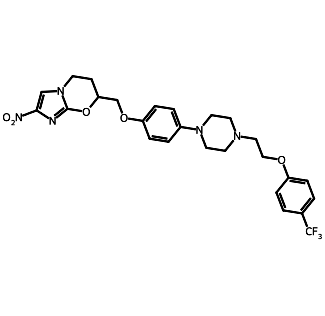 O=[N+]([O-])c1cn2c(n1)OC(COc1ccc(N3CCN(CCOc4ccc(C(F)(F)F)cc4)CC3)cc1)CC2